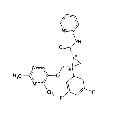 Cc1ncc(OC[C@@]2(C3C=C(F)C=C(F)C3)C[C@H]2C(=O)Nc2ccccn2)c(C)n1